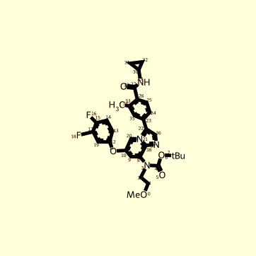 COCCN(C(=O)OC(C)(C)C)c1cc(Oc2ccc(F)c(F)c2)cn2c(-c3ccc(C(=O)NC4CC4)c(C)c3)cnc12